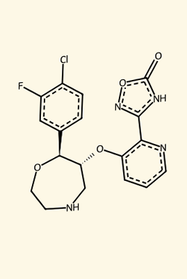 O=c1[nH]c(-c2ncccc2O[C@@H]2CNCCO[C@H]2c2ccc(Cl)c(F)c2)no1